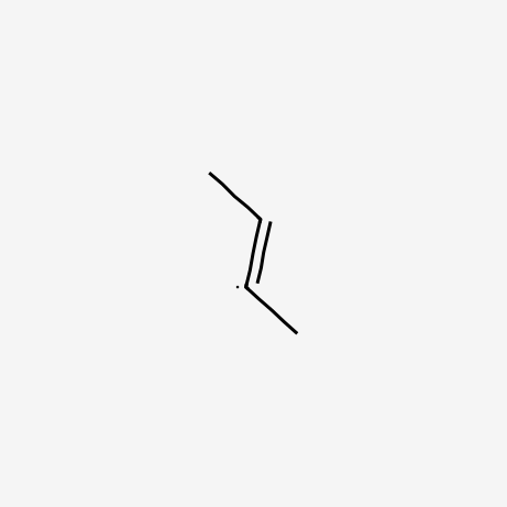 C[C]=CC